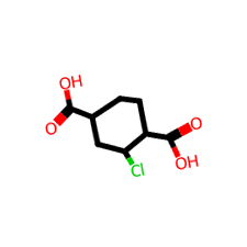 O=C(O)C1CCC(C(=O)O)C(Cl)C1